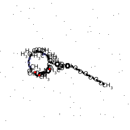 CCOCCOCCOCCOCCOCCOCCN1CCN(C(=O)O[C@@H]2CC[C@@H](C[C@@H](N)[C@@H]3C[C@@H](O)[C@H](C)/C=C(\C)[C@@H](O)[C@@H](O)C(=O)[C@H](C)C[C@H](C)/C=C/C=C/C=C(\C)[C@@H](OC)C[C@@H]4CC[C@@H](C)[C@@](O)(O4)C(=O)C(=O)N4CCCC[C@H]4C(=O)O3)C[C@H]2OC)CC1